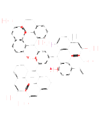 C=Cc1ccc(I)c(C(C2=C3C=CC(O)=C[C@H]3CC=C2I)c2cc(C(c3c(O)ccc4c3C=C[C@H](C)C4)c3c(C)ccc4cc(O)ccc34)cc(C(C3[C@H](O)CC=C4C=C(O)C=C[C@H]43)[C@H]3C4C=CC(O)=CC4=CC[C@@H]3O)c2)c1/C=C\CO